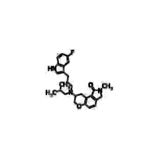 CC(C)CN(CCCc1c[nH]c2ccc(F)cc12)C1COc2ccc3c(c2C1)C(=O)N(C)C3